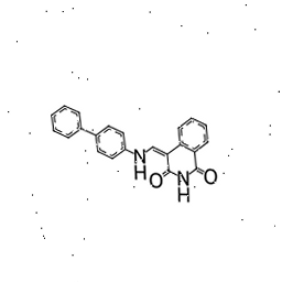 O=C1NC(=O)c2ccccc2C1=CNc1ccc(-c2ccccc2)cc1